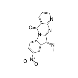 C/N=C1\c2cc([N+](=O)[O-])ccc2-n2c1nc1ncccc1c2=O